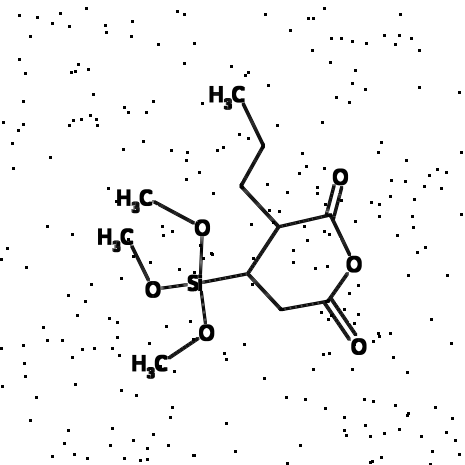 CCCC1C(=O)OC(=O)CC1[Si](OC)(OC)OC